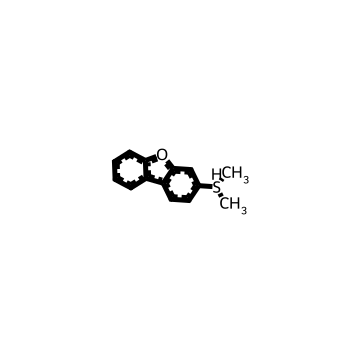 C[SH](C)c1ccc2c(c1)oc1ccccc12